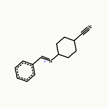 N#CC1CCC(/N=C/c2ccccc2)CC1